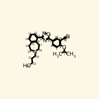 CC(C)Oc1ccc(-c2nc(-c3cccc4c3CCN(CCCO)CC4)no2)cc1C#N